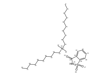 CCCCCCCCCC[N+](C)(C)CCCCCCCCCC.O=C1NS(=O)(=O)c2ccccc21